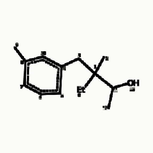 CCC(C)(Cc1cccc(C)c1)C(C)O